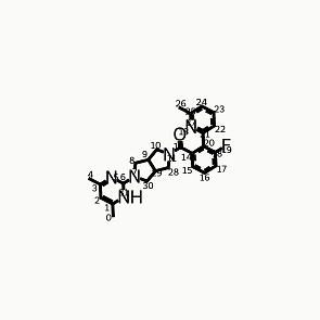 CC1=CC(C)=NC(N2CC3CN(C(=O)c4cccc(F)c4-c4cccc(C)n4)CC3C2)N1